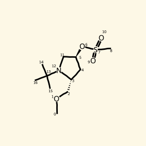 COC[C@H]1C[C@H](OS(C)(=O)=O)CN1C(C)(C)C